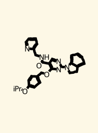 CC(C)Oc1ccc(COc2nc(N3CCc4ccccc43)ncc2C(=O)NCc2ccccn2)cc1